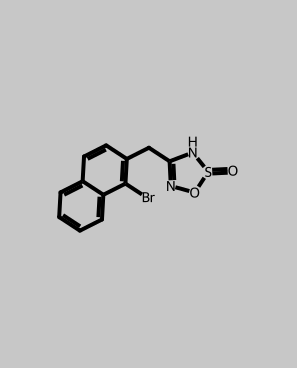 O=S1NC(Cc2ccc3ccccc3c2Br)=NO1